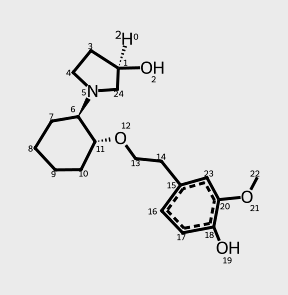 [2H][C@@]1(O)CCN([C@@H]2CCCC[C@H]2OCCc2ccc(O)c(OC)c2)C1